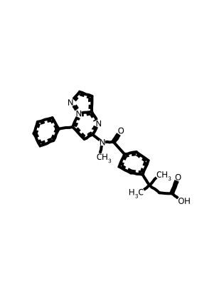 CN(C(=O)c1ccc(C(C)(C)CC(=O)O)cc1)c1cc(-c2ccccc2)n2nccc2n1